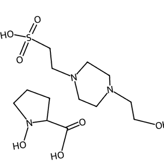 O=C(O)C1CCCN1O.O=S(=O)(O)CCN1CCN(CCO)CC1